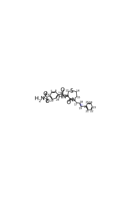 NS(=O)(=O)c1ccc(C(=O)N[C@H]2CSCCN(C/C=C/c3ccccc3)C2=O)cc1